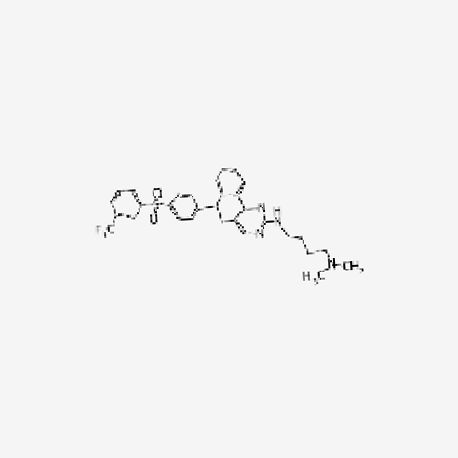 CN(C)CCCCNc1ncc2c(n1)-c1ccccc1C(c1ccc(S(=O)(=O)c3cccc(C(F)(F)F)c3)cc1)C2